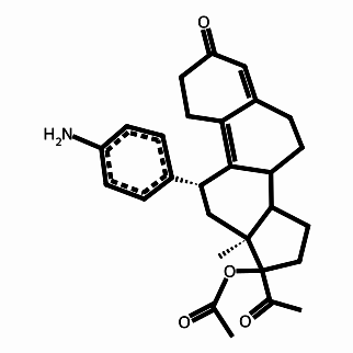 CC(=O)OC1(C(C)=O)CCC2C3CCC4=CC(=O)CCC4=C3[C@@H](c3ccc(N)cc3)C[C@@]21C